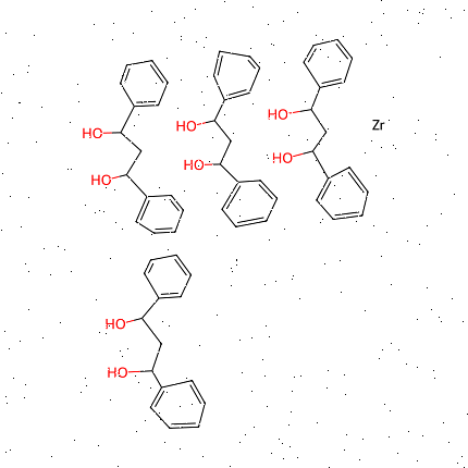 OC(CC(O)c1ccccc1)c1ccccc1.OC(CC(O)c1ccccc1)c1ccccc1.OC(CC(O)c1ccccc1)c1ccccc1.OC(CC(O)c1ccccc1)c1ccccc1.[Zr]